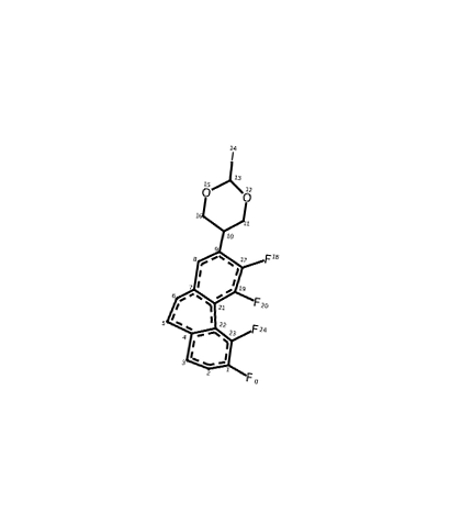 Fc1ccc2ccc3cc(C4COC(I)OC4)c(F)c(F)c3c2c1F